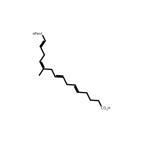 CCCCCC=CCC=C(C)CC=CCC=CCCCC(=O)O